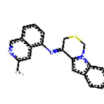 Cc1cc2c(N=C3CSCn4c3cc3ccccc34)cccc2cn1